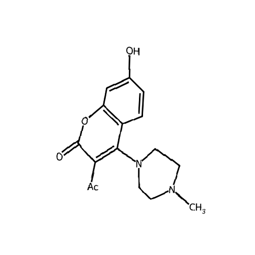 CC(=O)c1c(N2CCN(C)CC2)c2ccc(O)cc2oc1=O